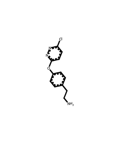 NCCc1ccc(Oc2ccc(Cl)nn2)cc1